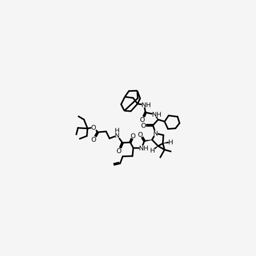 C=CCCC(NC(=O)[C@@H]1[C@@H]2[C@H](CN1C(=O)[C@@H](NC(=O)NC13CC4CC(CC(C4)C1)C3)C1CCCCC1)C2(C)C)C(=O)C(=O)NCCC(=O)OC(CC)(CC)CC